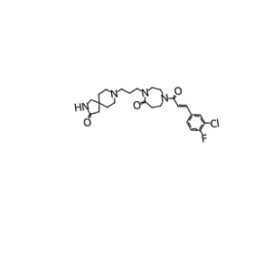 O=C1CC2(CCN(CCCN3CCN(C(=O)/C=C/c4ccc(F)c(Cl)c4)CCC3=O)CC2)CN1